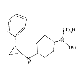 CC(C)(C)N(C(=O)O)C1CCC(NC2CC2c2ccccc2)CC1